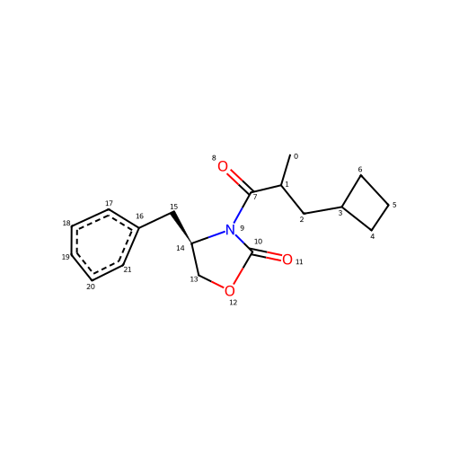 CC(CC1CCC1)C(=O)N1C(=O)OC[C@H]1Cc1ccccc1